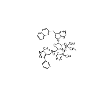 Cc1noc(-c2ccccc2)c1CSC[C@H]1O[C@@H](n2cc(Cc3ccc4ccccc4c3)c3cncnc32)[C@H](O[Si](C)(C)C(C)(C)C)[C@@H]1O[Si](C)(C)C(C)(C)C